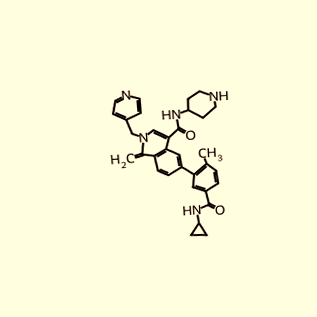 C=C1c2ccc(-c3cc(C(=O)NC4CC4)ccc3C)cc2C(C(=O)NC2CCNCC2)=CN1Cc1ccncc1